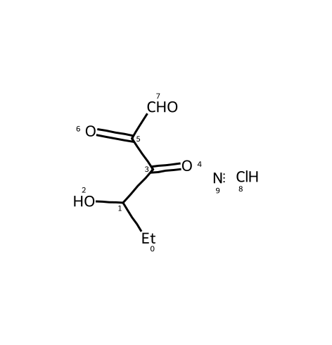 CCC(O)C(=O)C(=O)C=O.Cl.[N]